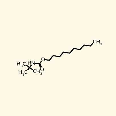 CCCCCCCCCCOC(=O)NC(C)(C)C